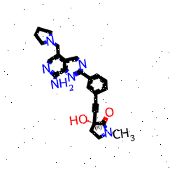 CN1CC[C@@](O)(C#Cc2cccc(-c3ncc4c(CN5CCCC5)cnc(N)c4n3)c2)C1=O